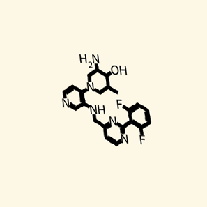 CC1CN(c2ccncc2NCc2ccnc(-c3c(F)cccc3F)n2)CC(N)C1O